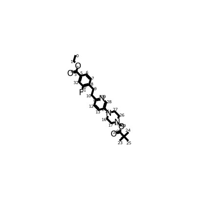 CCOC(=O)c1ccc(CCc2ccc(N3CCN(OC(=O)C(C)(C)C)CC3)cn2)c(F)c1